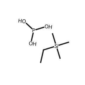 CC[Si](C)(C)C.OP(O)O